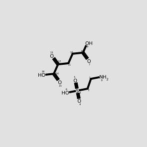 NCCS(=O)(=O)O.O=C(O)CCC(=O)C(=O)O